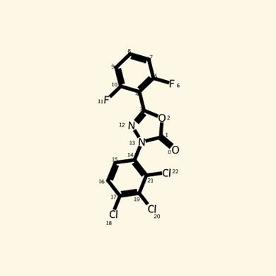 O=c1oc(-c2c(F)cccc2F)nn1-c1ccc(Cl)c(Cl)c1Cl